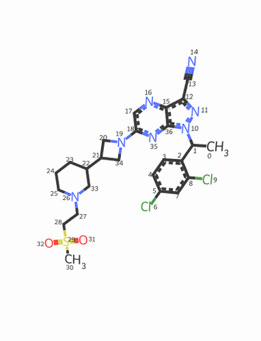 CC(c1ccc(Cl)cc1Cl)n1nc(C#N)c2ncc(N3CC(C4CCCN(CCS(C)(=O)=O)C4)C3)nc21